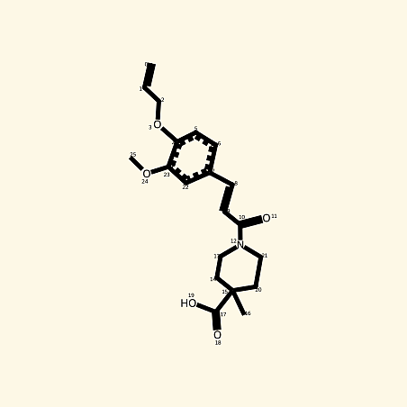 C=CCOc1ccc(C=CC(=O)N2CCC(C)(C(=O)O)CC2)cc1OC